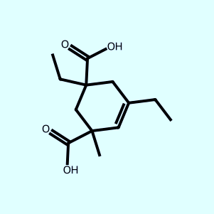 CCC1=CC(C)(C(=O)O)CC(CC)(C(=O)O)C1